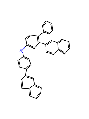 c1ccc(-c2ccc(Nc3ccc(-c4ccc5ccccc5c4)cc3)cc2-c2ccc3ccccc3c2)cc1